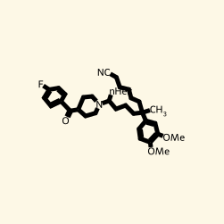 CCCCCCC(CCCC(C)(CCCCCC#N)c1ccc(OC)c(OC)c1)N1CCC(C(=O)c2ccc(F)cc2)CC1